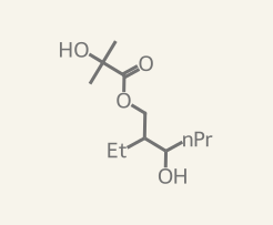 CCCC(O)C(CC)COC(=O)C(C)(C)O